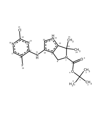 CC(C)(C)OC(=O)N1Cc2c(Nc3nc(Cl)ncc3F)c[nH]c2C1(C)C